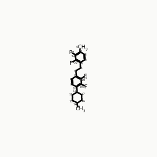 Cc1ccc(CCc2ccc(C3CCC(C)CC3)c(F)c2F)c(F)c1F